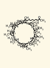 CC[C@@H]1NC(=O)C(C[C@H](C)CCCCCCNC(C)=O)N(C)C(=O)[C@H](C(C)C)N(C)C(=O)[C@H](CC(C)C)N(C)C(=O)C(CC(C)C)N(C)C(=O)[C@H](C)NC(=O)[C@@H](C)NC(=O)[C@@H](CC(C)C)N(C)C(=O)[C@@H](C(C)C)NC(=O)[C@H](CC(C)C)N(C)C(=O)[C@@H](COC)N(C)C1=O